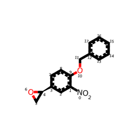 O=[N+]([O-])c1cc([C@H]2CO2)ccc1OCc1ccccc1